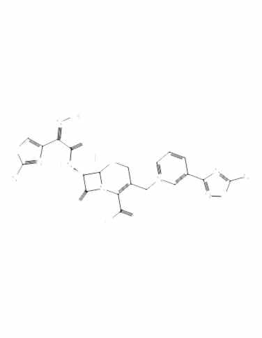 Nc1nc(/C(=N/O)C(=O)N[C@@H]2C(=O)N3C(C(=O)[O-])=C(C[n+]4cccc(-c5nsc(N)n5)c4)CS[C@H]23)cs1